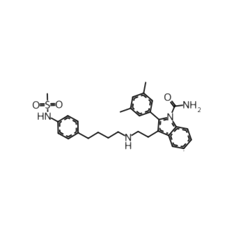 Cc1cc(C)cc(-c2c(CCNCCCCc3ccc(NS(C)(=O)=O)cc3)c3c[c]ccc3n2C(N)=O)c1